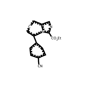 CCOC(=O)c1ncc2cccc(-c3ccc(C#N)cc3)n12